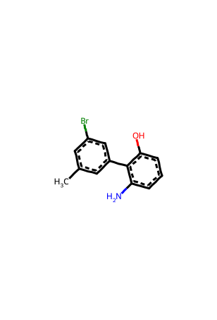 Cc1cc(Br)cc(-c2c(N)cccc2O)c1